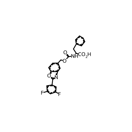 O=C(NC(Cc1ccccc1)C(=O)O)OCc1ccc2oc(-c3cc(F)cc(F)c3)nc2c1